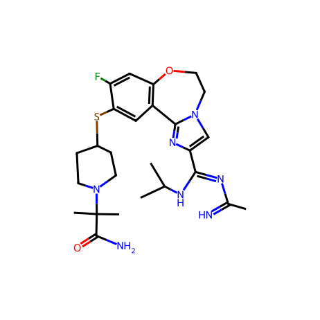 CC(=N)/N=C(\NC(C)C)c1cn2c(n1)-c1cc(SC3CCN(C(C)(C)C(N)=O)CC3)c(F)cc1OCC2